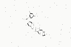 Cc1cc(F)cc([S+]([O-])c2ccc(CNC(=O)c3ccc4nccn4c3)nc2)c1